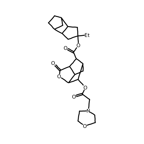 CCC1(OC(=O)C2C3CC4C(OC(=O)C42)C3OC(=O)CN2CCOCC2)CC2C3CCC(C3)C2C1